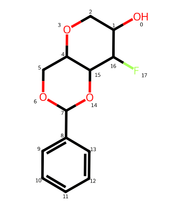 OC1COC2COC(c3ccccc3)OC2C1F